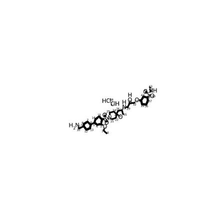 CCOc1cc(-c2ccc(CN)cc2)ccc1S(=O)(=O)N1CCC2(CC1)C[C@H](NC[C@H](O)COc1cccc(S(=O)(=O)NC)c1)CO2.Cl.Cl